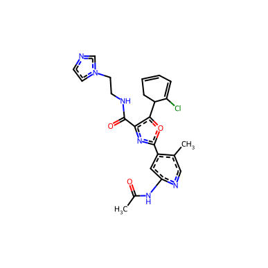 CC(=O)Nc1cc(-c2nc(C(=O)NCCn3ccnc3)c(C3CC=CC=C3Cl)o2)c(C)cn1